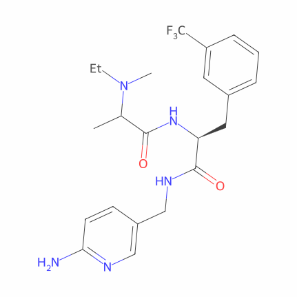 CCN(C)C(C)C(=O)N[C@@H](Cc1cccc(C(F)(F)F)c1)C(=O)NCc1ccc(N)nc1